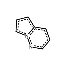 c1cnn2cccc2c1